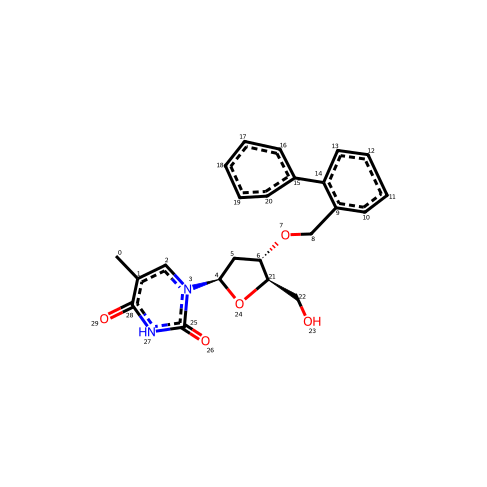 Cc1cn([C@H]2C[C@H](OCc3ccccc3-c3ccccc3)[C@@H](CO)O2)c(=O)[nH]c1=O